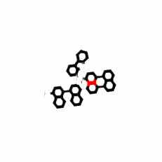 Fc1ccc(-c2cc(N(c3ccc(-c4cccc5cccc(-c6ccccc6)c45)cc3)c3cccc4c3sc3ccccc34)cc3ccccc23)c2ccccc12